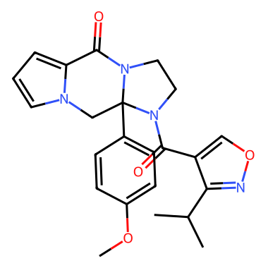 COc1ccc(C23Cn4cccc4C(=O)N2CCN3C(=O)c2conc2C(C)C)cc1